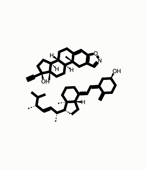 C#C[C@]1(O)CC[C@H]2[C@@H]3CCC4=Cc5oncc5C[C@]4(C)[C@H]3CC[C@@]21C.C=C1CC[C@H](O)C/C1=C/C=C1\CCC[C@]2(C)[C@@H]([C@H](C)/C=C/[C@H](C)C(C)C)CC[C@@H]12